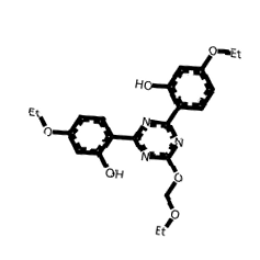 CCOCOc1nc(-c2ccc(OCC)cc2O)nc(-c2ccc(OCC)cc2O)n1